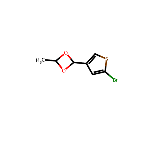 CC1OC(c2csc(Br)c2)O1